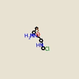 Nc1ccc(-c2cccs2)cc1NC(=O)C=Cc1ccc(CNc2cccc(Cl)c2)cc1